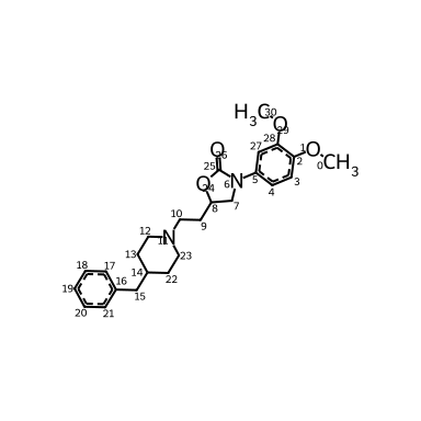 COc1ccc(N2CC(CCN3CCC(Cc4ccccc4)CC3)OC2=O)cc1OC